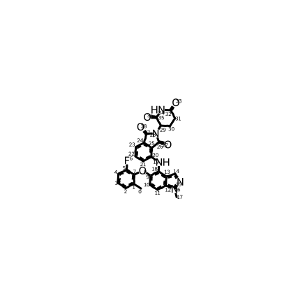 Cc1cccc(F)c1Oc1ccc2c(cnn2C)c1Nc1cccc2c1C(=O)N(C1CCC(=O)NC1=O)C2=O